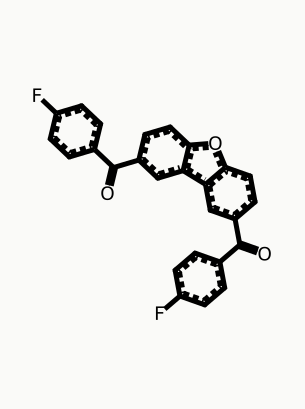 O=C(c1ccc(F)cc1)c1ccc2oc3ccc(C(=O)c4ccc(F)cc4)cc3c2c1